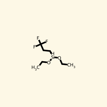 CCO[SiH](CCC(F)(F)F)OCC